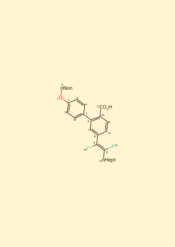 CCCCCCCCCOc1ccc(-c2cc(/C(F)=C(\F)CCCCCCC)ccc2C(=O)O)cc1